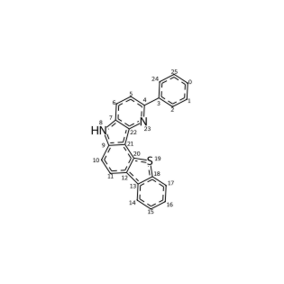 c1ccc(-c2ccc3[nH]c4ccc5c6ccccc6sc5c4c3n2)cc1